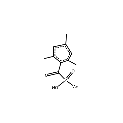 CC(=O)P(=O)(O)C(=O)c1c(C)cc(C)cc1C